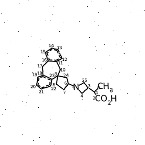 CC(C(=O)O)C1CN(C2CCC3(Cc4ccccc4Cc4ccccc43)C2)C1